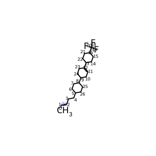 C/C=C/CCC1CCC(C2CC=C(C3CCC(C(F)(F)F)CC3)CC2)CC1